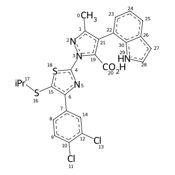 Cc1nn(-c2nc(-c3ccc(Cl)c(Cl)c3)c(SC(C)C)s2)c(C(=O)O)c1-c1cccc2cc[nH]c12